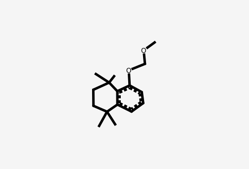 COCOc1cccc2c1C(C)(C)CCC2(C)C